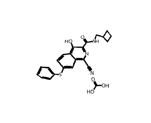 N#Cc1nc(C(=O)NCC2CCC2)c(O)c2ccc(Sc3ccccc3)cc12.O=C(O)O